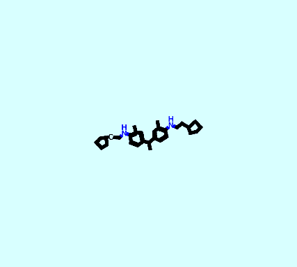 Cc1cc(C(C)c2ccc(NCCC3CCCC3)c(C)c2)ccc1NCCC1CCCC1